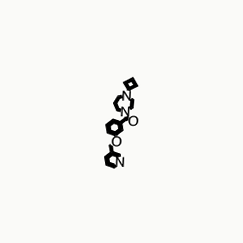 O=C(c1cccc(OCc2cccnc2)c1)N1CCCN(C2CCC2)CC1